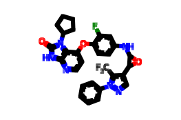 O=c1[nH]c2nccc(Oc3ccc(NC4OC4c4cnn(-c5ccccc5)c4C(F)(F)F)cc3F)c2n1C1CCCC1